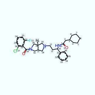 O=C(CC1CCCCC1)NC(CCN1CC2CN(C(=O)c3c(F)cccc3Cl)C[C@@H]2C1)c1ccccc1